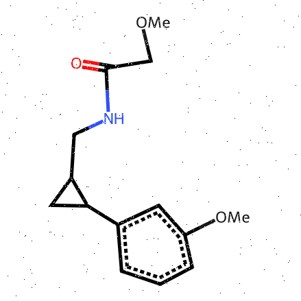 COCC(=O)NCC1CC1c1cccc(OC)c1